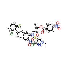 CCn1cc(S(=O)(=O)N(CC[C@@H](C)OC(=O)c2ccc([N+](=O)[O-])cc2)c2cc(/C=C(\C)c3c(F)cccc3Cl)ccc2N=O)c(Cl)n1